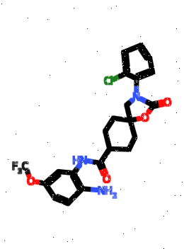 Nc1ccc(OC(F)(F)F)cc1NC(=O)C1CCC2(CC1)CN(c1ccccc1Cl)C(=O)O2